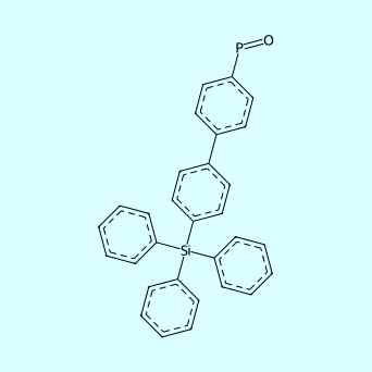 O=Pc1ccc(-c2ccc([Si](c3ccccc3)(c3ccccc3)c3ccccc3)cc2)cc1